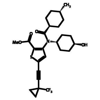 COC(=O)c1sc(C#CC2(C(F)(F)F)CC2)cc1N(C(=O)[C@H]1CC[C@H](C)CC1)[C@H]1CC[C@H](O)CC1